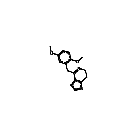 COc1ccc(OC)c(CC2=NCCc3sccc32)c1